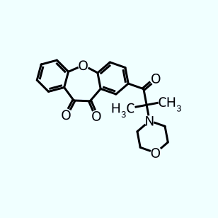 CC(C)(C(=O)c1ccc2oc3ccccc3c(=O)c(=O)c2c1)N1CCOCC1